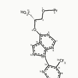 CC(C)OC[C@H](Oc1ncnc2c1cnn2-c1ncccc1C(F)(F)F)C(=O)O